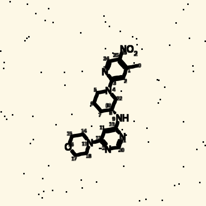 Cc1cc(N2CCC[C@@H](Nc3cc(N4CCOCC4)ncn3)C2)ncc1[N+](=O)[O-]